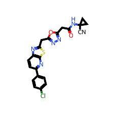 N#CC1(NC(=O)Cc2nnc(Cc3nc4ccc(-c5ccc(Cl)cc5)nc4s3)o2)CC1